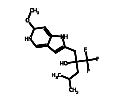 COC1C=c2[nH]c(CC(O)(CC(C)C)C(F)(F)F)cc2=CN1